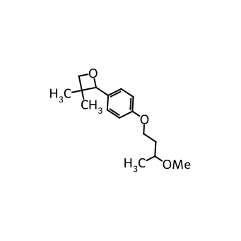 COC(C)CCOc1ccc(C2OCC2(C)C)cc1